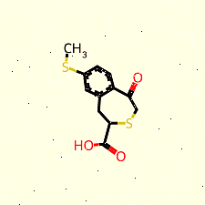 CSc1ccc2c(c1)CC(C(=O)O)SCC2=O